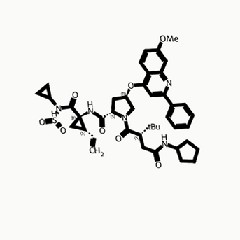 C=C[C@@H]1C[C@]1(NC(=O)[C@@H]1C[C@@H](Oc2cc(-c3ccccc3)nc3cc(OC)ccc23)CN1C(=O)[C@@H](CC(=O)NC1CCCC1)C(C)(C)C)C(=O)N(C1CC1)[SH](=O)=O